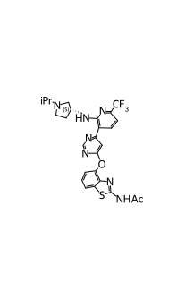 CC(=O)Nc1nc2c(Oc3cc(-c4ccc(C(F)(F)F)nc4NC[C@@H]4CCN(C(C)C)C4)ncn3)cccc2s1